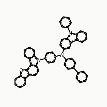 c1ccc(-c2ccc(N(c3ccc(-n4c5ccccc5c5c6oc7ccccc7c6ccc54)cc3)c3ccc4c(c3)c3ccccc3n4-c3ccccc3)cc2)cc1